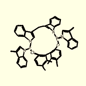 Cc1ccc2c(c1C)-c1c(ccc(C)c1C)OP(n1cc(C)c3ccccc31)n1cc(c3ccccc31)Cc1cn(c3ccccc13)P(n1cc(C)c3ccccc31)O2